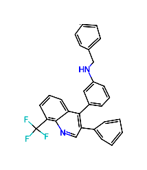 FC(F)(F)c1cccc2c(-c3cccc(NCc4cc[c]cc4)c3)c(-c3ccccc3)cnc12